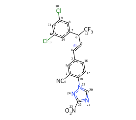 N#Cc1cc(/C=C/C(c2cc(Cl)cc(Cl)c2)C(F)(F)F)ccc1-n1cnc([N+](=O)[O-])n1